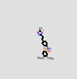 COc1ccc(S(=O)(=O)Nc2ccc(/C=C/c3noc(C(F)(F)F)n3)cc2)cc1OC